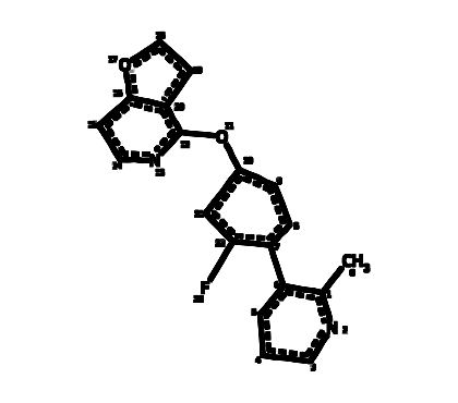 Cc1ncccc1-c1ccc(Oc2nccc3occc23)cc1F